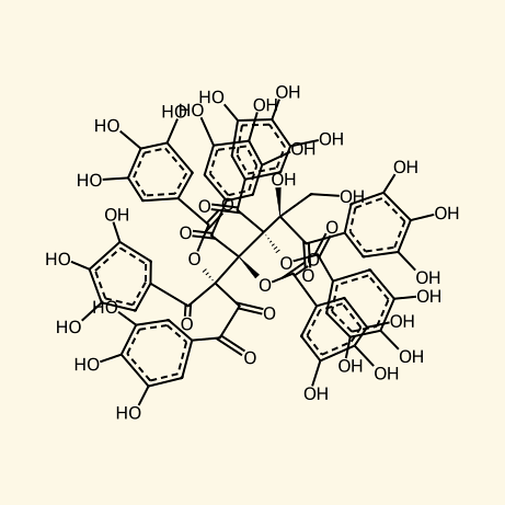 O=C(O[C@](C(=O)C(=O)c1cc(O)c(O)c(O)c1)(C(=O)c1cc(O)c(O)c(O)c1)[C@](OC(=O)c1cc(O)c(O)c(O)c1)(C(=O)c1cc(O)c(O)c(O)c1)[C@@](OC(=O)c1cc(O)c(O)c(O)c1)(C(=O)c1cc(O)c(O)c(O)c1)[C@](O)(CO)C(=O)c1cc(O)c(O)c(O)c1)c1cc(O)c(O)c(O)c1